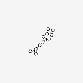 c1ccc(-n2c3ccccc3c3cc(-c4ccc(-c5ccc6c(c5)c5ccccc5n6-c5cccc(-c6cccc([Si](c7ccccc7)(c7ccccc7)c7ccccc7)c6)c5)cc4)ccc32)cc1